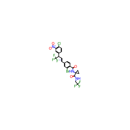 O=C(NC1(C(=O)NCC(F)(F)F)CC1)c1ccc(/C=C/C(c2ccc(Cl)c([N+](=O)[O-])c2)C(F)(F)F)cc1Br